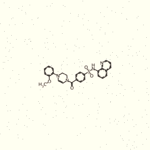 COc1ccccc1N1C=CN(C(=O)c2ccc(S(=O)(=O)Nc3cccc4cccnc34)cc2)CC1